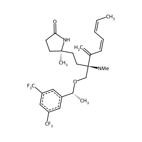 C=C(/C=C\C=C/C)[C@@](CC[C@@]1(C)CCC(=O)N1)(CO[C@H](C)c1cc(C(F)(F)F)cc(C(F)(F)F)c1)NC